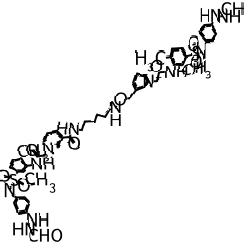 Cc1ccc(S(=O)(=O)Nc2ccc(NNC=O)cc2)c(C)c1NC(=O)C[n+]1cccc(CONCCCCCCNC(=O)c2ccc[n+](CC(=O)Nc3c(C)ccc(S(=O)(=O)Nc4ccc(NNC=O)cc4)c3C)c2)c1